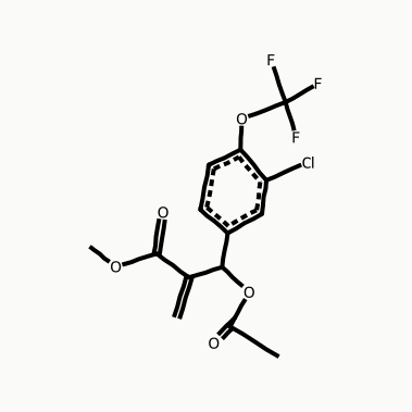 C=C(C(=O)OC)C(OC(C)=O)c1ccc(OC(F)(F)F)c(Cl)c1